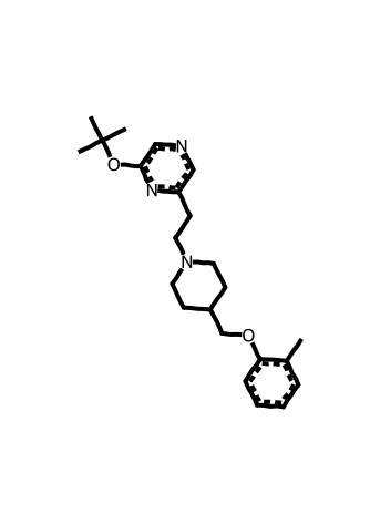 Cc1ccccc1OCC1CCN(CCc2cncc(OC(C)(C)C)n2)CC1